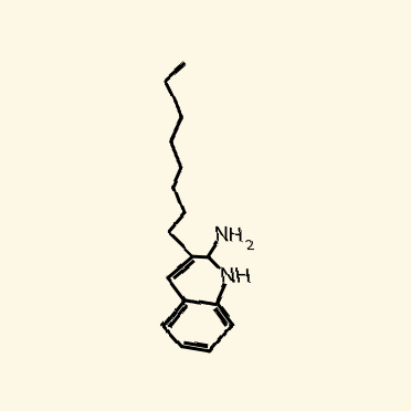 CCCCCCCCC1=Cc2ccccc2NC1N